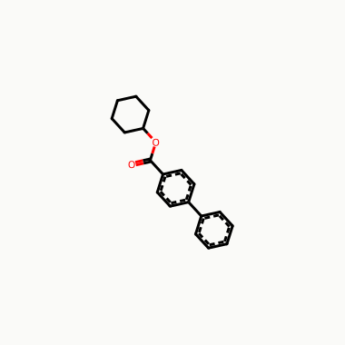 O=C(OC1CCCCC1)c1ccc(-c2ccccc2)cc1